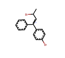 CC(Br)/C=C(\c1ccccc1)c1ccc(Br)cc1